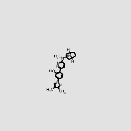 Cc1nn(-c2ccc(-c3ccc(N(C)[C@H]4C[C@H]5CC[C@@H](C4)N5)nn3)c(O)c2)cc1N